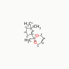 CC1(C)C=C(C2(C)OCC=CCO2)CCC1